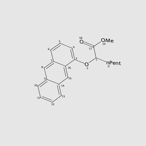 CCCCCC(Oc1cccc2cc3ccccc3cc12)C(=O)OC